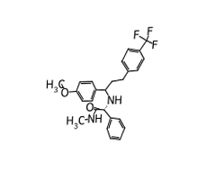 CNC(=O)[C@H](NC(CCc1ccc(C(F)(F)F)cc1)c1ccc(OC)cc1)c1ccccc1